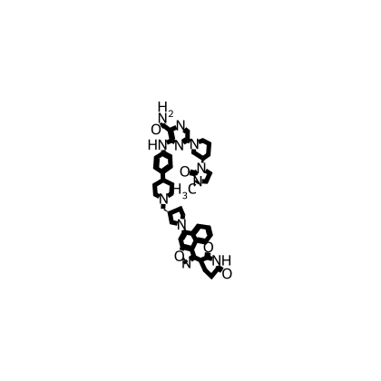 CN1CCN([C@@H]2CCCN(c3cnc(C(N)=O)c(Nc4ccc(C5CCN(C[C@@H]6CCN(c7cc8onc(C9CCC(=O)NC9=O)c8c8ccccc78)C6)CC5)cc4)n3)C2)C1=O